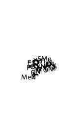 CNC(=O)Cn1cc(NC(=O)c2cnn3cccnc23)c(-c2cc(SC)ccc2OC(F)F)n1